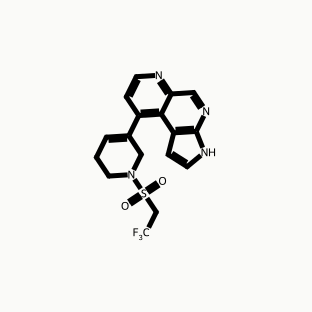 O=S(=O)(CC(F)(F)F)N1CCC=C(c2ccnc3cnc4[nH]ccc4c23)C1